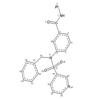 CC(C)NC(=O)c1cccc(N(Cc2ccccc2)S(=O)(=O)c2cccnc2)c1